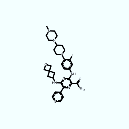 CN1CCN(C2CCN(c3ccc(Nc4nc(NC5CC6(COC6)C5)c(-c5ccncc5)nc4C(N)=O)cc3F)CC2)CC1